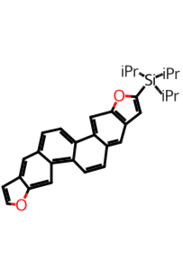 CC(C)[Si](c1cc2cc3ccc4c5cc6occc6cc5ccc4c3cc2o1)(C(C)C)C(C)C